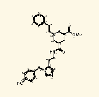 COC(=O)C1CC(C(=O)NCCc2cncn2Cc2ccc(C#N)cc2)CN(CCc2ccccc2)C1